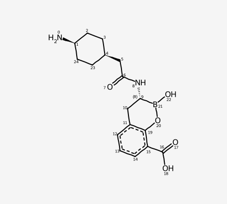 N[C@H]1CC[C@@H](CC(=O)N[C@H]2Cc3cccc(C(=O)O)c3OB2O)CC1